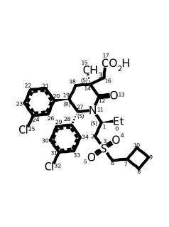 CC[C@@H](CS(=O)(=O)CC1CCC1)N1C(=O)[C@](C)(CC(=O)O)C[C@H](c2cccc(Cl)c2)[C@H]1c1ccc(Cl)cc1